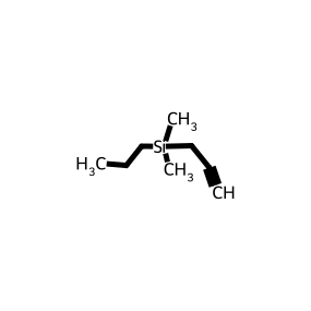 C#CC[Si](C)(C)CCC